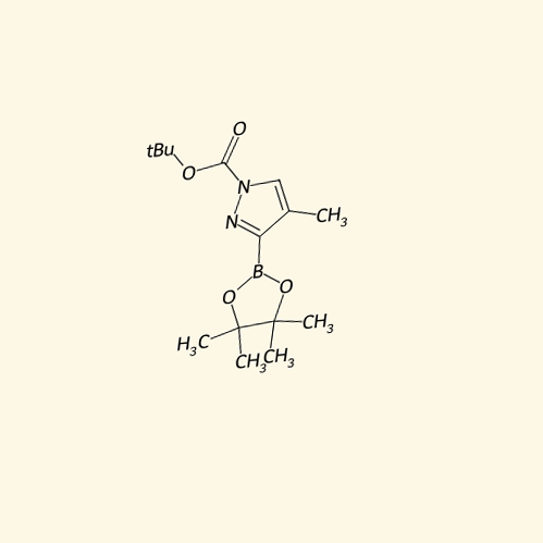 Cc1cn(C(=O)OC(C)(C)C)nc1B1OC(C)(C)C(C)(C)O1